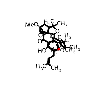 CO[C@]12C=C3C(=O)c4c(O)c(CC=C(C)C)c5c(c4O[C@]34C(C1)C(C)(C)O[C@]4(CC=C(C)C)C2=O)C(C)(C)[C@@H](C)O5